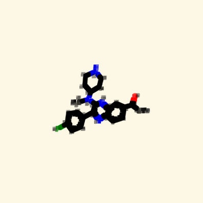 COC(=O)c1ccc2nc(-c3ccc(F)cc3)c(N(C)C3CCNCC3)nc2c1